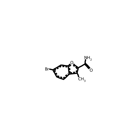 Cc1c(C(N)=O)oc2cc(Br)ccc12